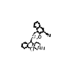 COc1c(C#N)cc2ccccc2c1COCC(c1ccccc1Cl)N1CCNCC1